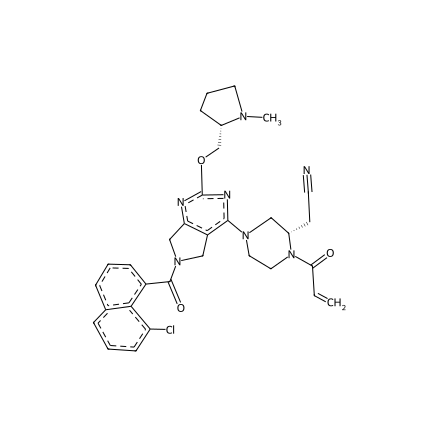 C=CC(=O)N1CCN(c2nc(OC[C@@H]3CCCN3C)nc3c2CN(C(=O)c2cccc4cccc(Cl)c24)C3)C[C@@H]1CC#N